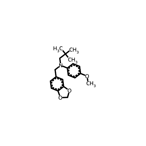 COc1ccc(N(Cc2ccc3c(c2)OCO3)CC(C)(C)C)cc1